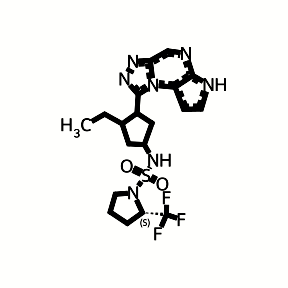 CCC1CC(NS(=O)(=O)N2CCC[C@H]2C(F)(F)F)CC1c1nnc2cnc3[nH]ccc3n12